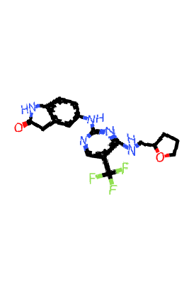 O=C1Cc2cc(Nc3ncc(C(F)(F)F)c(NCC4CCCO4)n3)ccc2N1